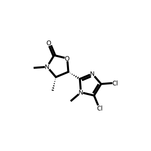 C[C@H]1[C@@H](c2nc(Cl)c(Cl)n2C)OC(=O)N1C